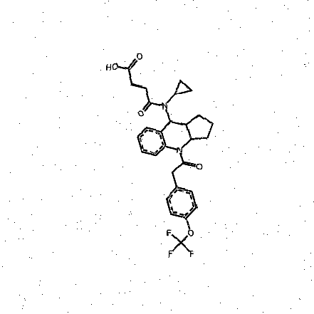 O=C(O)CCC(=O)N(C1CC1)C1c2ccccc2N(C(=O)Cc2ccc(OC(F)(F)F)cc2)C2CCCC21